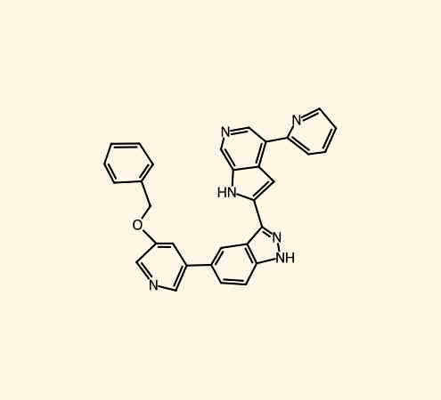 c1ccc(COc2cncc(-c3ccc4[nH]nc(-c5cc6c(-c7ccccn7)cncc6[nH]5)c4c3)c2)cc1